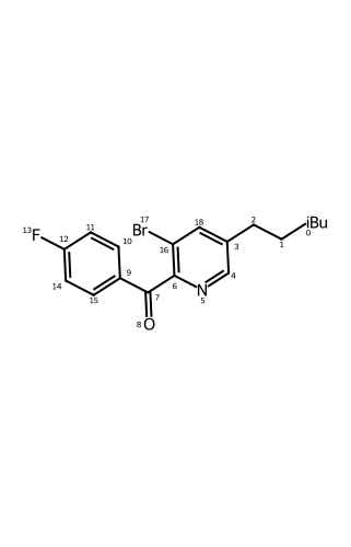 CCC(C)CCc1cnc(C(=O)c2ccc(F)cc2)c(Br)c1